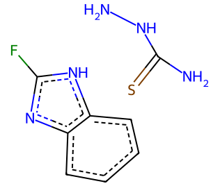 Fc1nc2ccccc2[nH]1.NNC(N)=S